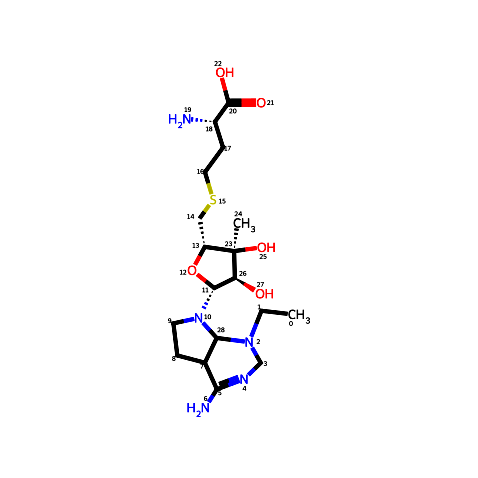 CCN1CN=C(N)C2CCN([C@@H]3O[C@H](CSCC[C@H](N)C(=O)O)[C@@](C)(O)[C@H]3O)C21